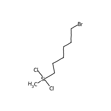 C[Si](Cl)(Cl)CCCCCCBr